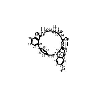 CSc1ccc2c(c1)CC[C@H]1NC(=O)CC(C)(C)NCCNC(=O)c3ccccc3-c3ccc(cc3)CN2C1=O